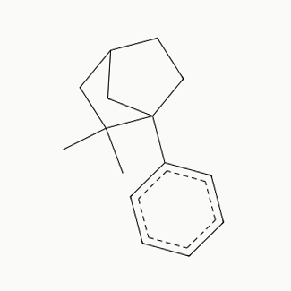 CC1(C)CC2CCC1(c1ccccc1)C2